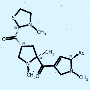 CC(=O)[C@@H]1C=C(C(=O)[C@]2(C)C[C@@H](C(=O)[C@@H]3SCCN3C)CN2C)CN1C